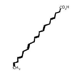 C=CCC=CCC=CCC=CCC=CCC=CCCC(=O)O